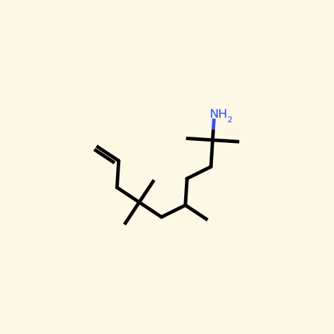 C=CCC(C)(C)CC(C)CCC(C)(C)N